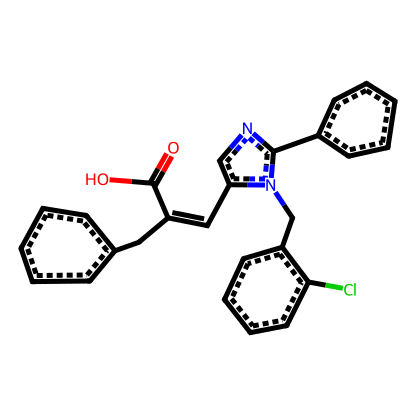 O=C(O)C(=Cc1cnc(-c2ccccc2)n1Cc1ccccc1Cl)Cc1ccccc1